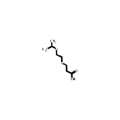 CC(C)OCCOCCC(=O)O